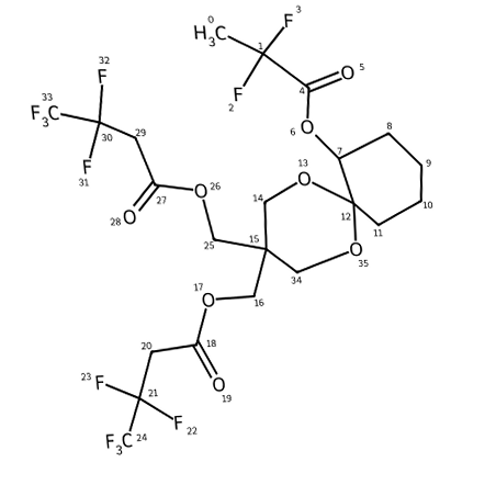 CC(F)(F)C(=O)OC1CCCCC12OCC(COC(=O)CC(F)(F)C(F)(F)F)(COC(=O)CC(F)(F)C(F)(F)F)CO2